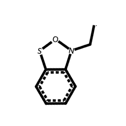 [CH2]CN1OSc2ccccc21